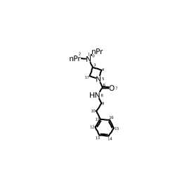 CCCN(CCC)C1CN(C(=O)NCCc2ccccc2)C1